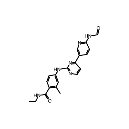 CCNC(=O)c1ccc(Nc2nccc(-c3ccc(NC=O)nc3)n2)cc1C